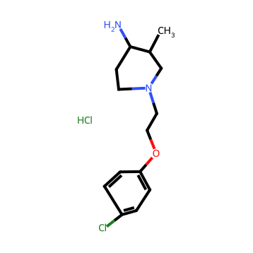 CC1CN(CCOc2ccc(Cl)cc2)CCC1N.Cl